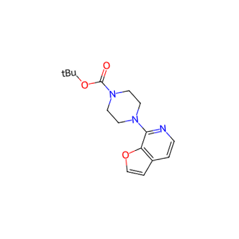 CC(C)(C)OC(=O)N1CCN(c2nccc3ccoc23)CC1